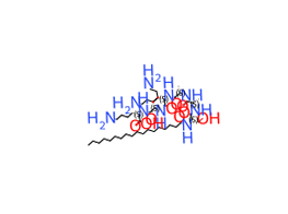 CCCCCCCCCCCCCCCCCC(=O)N[C@@H](CO)C(=O)N[C@@H](C)C(=O)N[C@@H](C)C(=O)N[C@@H](CCCCN)C(=O)N[C@@H](CCCCN)C(=O)N[C@@H](CCCCN)C(=O)O